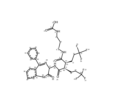 O=C(O)NCCSNC(=O)[C@@H](CCC(F)(F)F)[C@@H](CCC(F)(F)F)C(=O)NC1N=C(c2ccccc2)c2ccccc2NC1=O